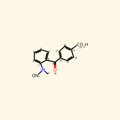 CN(N=O)c1ccccc1C(=O)c1ccc(C(=O)O)cc1